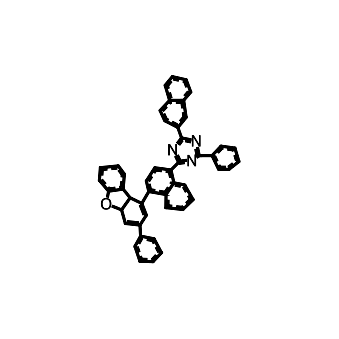 C1=C(c2ccccc2)C=C(c2ccc(-c3nc(-c4ccccc4)nc(-c4ccc5ccccc5c4)n3)c3ccccc23)C2c3ccccc3OC12